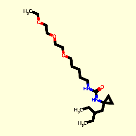 CCOCCOCCOCCCCCNC(=O)NC1(CC(CC)CC)CC1